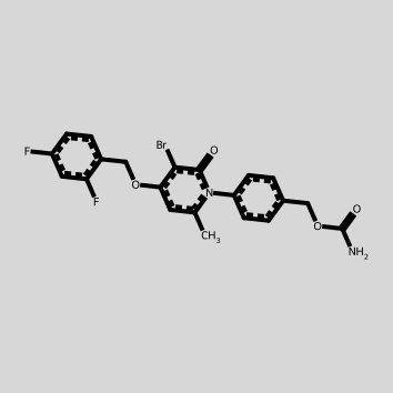 Cc1cc(OCc2ccc(F)cc2F)c(Br)c(=O)n1-c1ccc(COC(N)=O)cc1